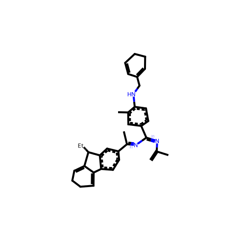 C=C(C)/N=C(\N=C(/C)c1ccc2c(c1)C(CC)C1=CCCC=C12)c1ccc(NCC2=CCCC=C2)c(C)c1